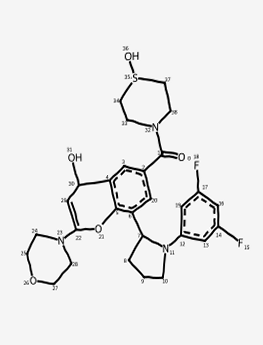 O=C(c1cc2c(c(C3CCCN3c3cc(F)cc(F)c3)c1)OC(N1CCOCC1)=CC2O)N1CC[S](O)CC1